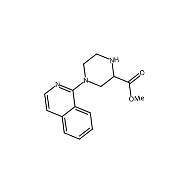 COC(=O)C1CN(c2nccc3ccccc23)CCN1